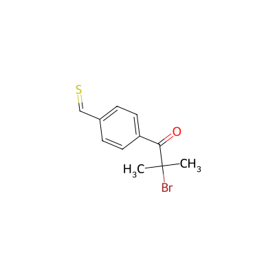 CC(C)(Br)C(=O)c1ccc(C=S)cc1